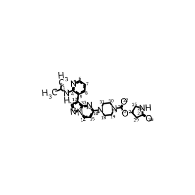 CC(C)Nc1ncccc1-c1cnn2ccc(N3CCN(C(=O)O[C@@H]4CNC(=O)C4)CC3)nc12